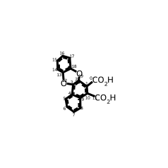 O=C(O)c1c2c(c3ccccc3c1C(=O)O)Oc1ccccc1O2